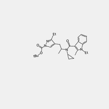 CCc1nn(C(=O)OC(C)(C)C)cc1CC(C)N(C(=O)c1c(C)n(CC)c2ccccc12)C1CC1